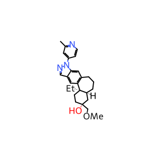 CC[C@@]12CC[C@](O)(COC)C[C@@H]1CCCc1cc3c(cnn3-c3ccnc(C)c3)cc12